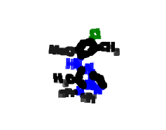 CCCN(CCC)c1c(C)c(Nc2cc(C)c(Cl)cc2OC)nc2ccnn12